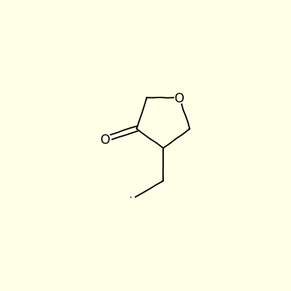 [CH2]CC1COCC1=O